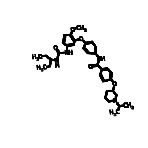 CCC(CC)NC(=O)Nc1ccc(OC)c(Oc2ccc(NC(=O)c3ccc(OC4CCCN(C(C)C)C4)cc3)cc2)c1